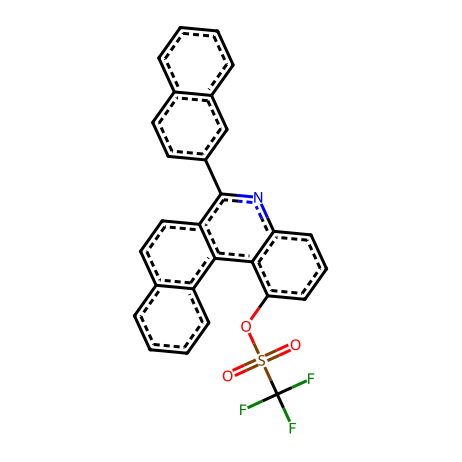 O=S(=O)(Oc1cccc2nc(-c3ccc4ccccc4c3)c3ccc4ccccc4c3c12)C(F)(F)F